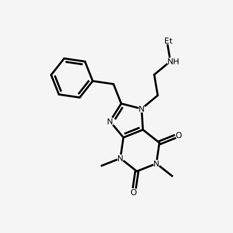 CCNCCn1c(Cc2ccccc2)nc2c1c(=O)n(C)c(=O)n2C